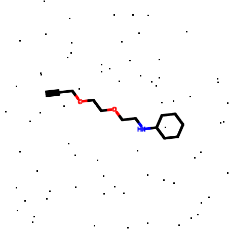 C#CCOCCOCCNC1CCCCC1